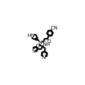 N#Cc1ccc(C(=O)/C=C2\NC(Cc3ccncc3)(Cc3ccsc3)C(=O)N2C2C3CNCC32)cc1